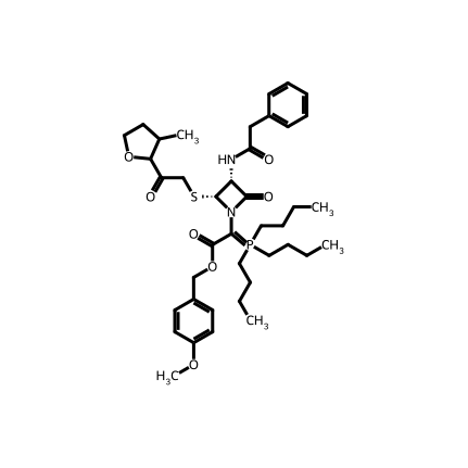 CCCCP(CCCC)(CCCC)=C(C(=O)OCc1ccc(OC)cc1)N1C(=O)[C@@H](NC(=O)Cc2ccccc2)[C@H]1SCC(=O)C1OCCC1C